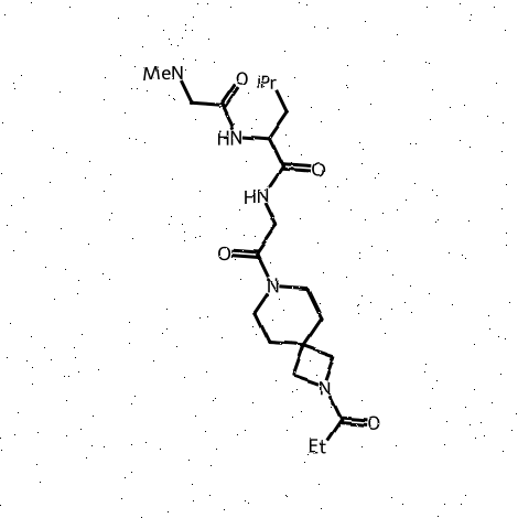 CCC(=O)N1CC2(CCN(C(=O)CNC(=O)C(CC(C)C)NC(=O)CNC)CC2)C1